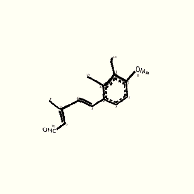 COc1ccc(C=CC(C)=CC=O)c(C)c1C